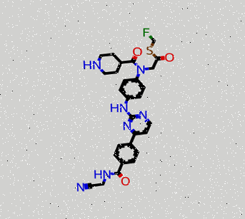 N#CCNC(=O)c1ccc(-c2ccnc(Nc3ccc(N(CC(=O)SCF)C(=O)C4CCNCC4)cc3)n2)cc1